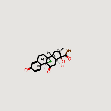 C[C@@H]1C[C@H]2[C@@H]3CCC4=CC(=O)C=C[C@]4(C)[C@@]3(F)C(=O)C[C@]2(C)[C@@]1(O)C(=O)S